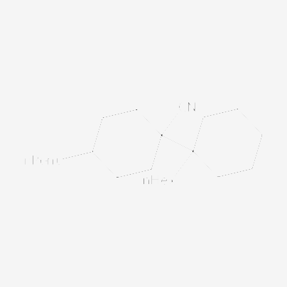 CCCCCCC1(C2(C#N)CC[C](CCCCC)CC2)CCCCC1